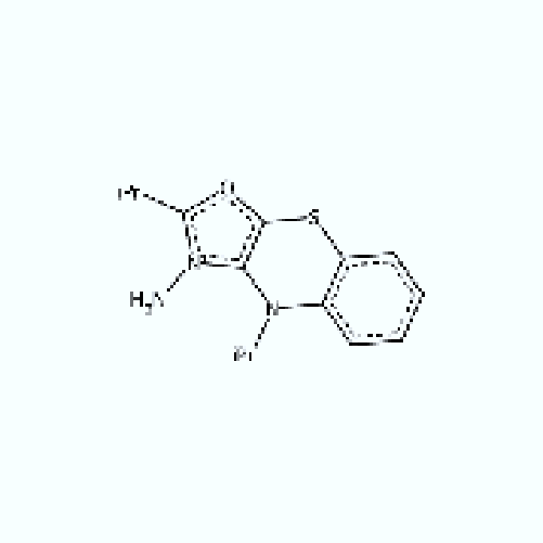 CC(C)c1oc2c([n+]1N)N(C(C)C)c1ccccc1S2